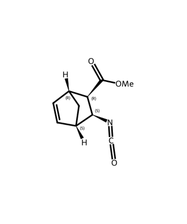 COC(=O)[C@H]1[C@@H](N=C=O)[C@@H]2C=C[C@H]1C2